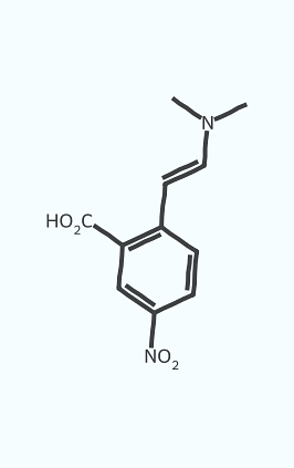 CN(C)C=Cc1ccc([N+](=O)[O-])cc1C(=O)O